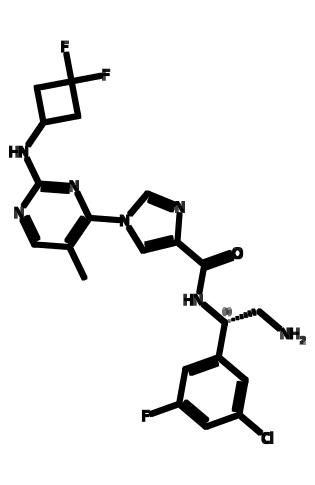 Cc1cnc(NC2CC(F)(F)C2)nc1-n1cnc(C(=O)N[C@H](CN)c2cc(F)cc(Cl)c2)c1